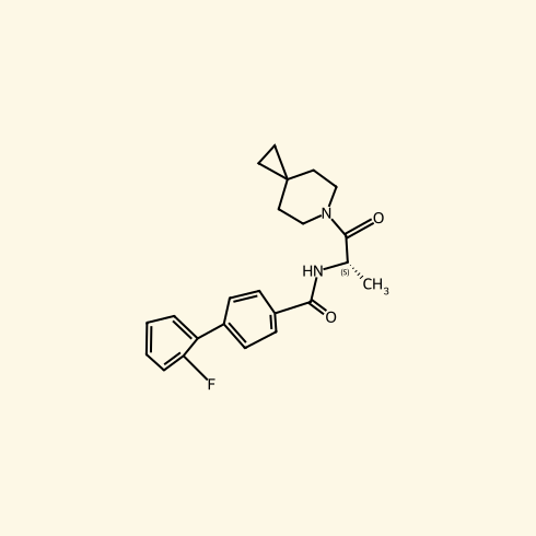 C[C@H](NC(=O)c1ccc(-c2ccccc2F)cc1)C(=O)N1CCC2(CC1)CC2